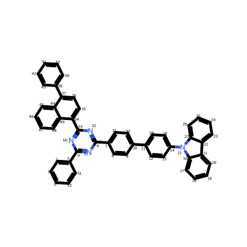 c1ccc(-c2nc(-c3ccc(-c4ccc(-n5c6ccccc6c6ccccc65)cc4)cc3)nc(-c3ccc(-c4ccccc4)c4ccccc34)n2)cc1